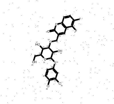 O=c1oc2ccc(F)c(F)c2cc1COC1C(O)C(CO)OC(Sc2ccc(Cl)c(Cl)c2)C1O